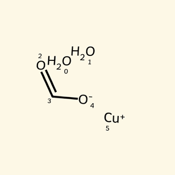 O.O.O=C[O-].[Cu+]